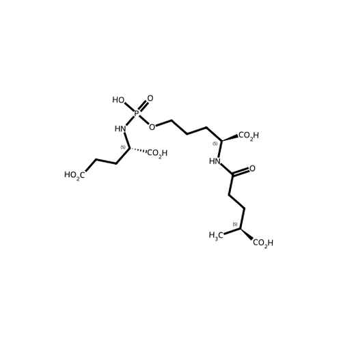 C[C@@H](CCC(=O)N[C@@H](CCCOP(=O)(O)N[C@@H](CCC(=O)O)C(=O)O)C(=O)O)C(=O)O